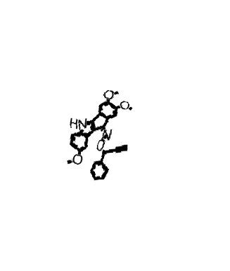 C#CC(ON=C1c2cc(OC)c(OC)cc2-c2[nH]c3ccc(OC)cc3c21)c1ccccc1